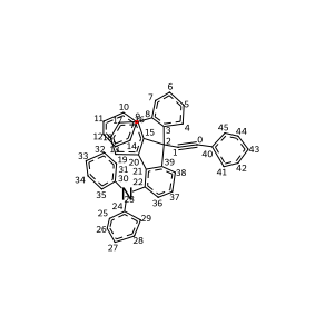 C(#CC1(c2ccccc2-c2ccccc2)c2ccccc2-c2c(N(c3ccccc3)c3ccccc3)cccc21)c1ccccc1